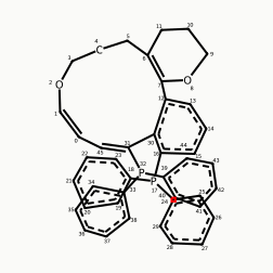 C1=C\OCCCC2=C(OCCC2)c2cccc(P(c3ccccc3)c3ccccc3)c2\C(P(c2ccccc2)c2ccccc2)=C/1